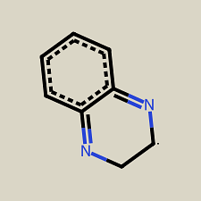 [CH]1CN=c2ccccc2=N1